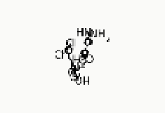 N=C(N)c1ccc(-c2ccc(OC[C@@H]3C[C@@H](CC(=O)O)C(=O)N3CCCc3ccc(Cl)cc3Cl)cc2)cc1.O